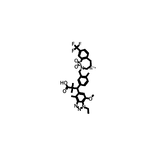 CCn1nnc2c(C)c(C(c3ccc(C)c(CN4C[C@@H](C)Cc5ccc(C(F)(F)F)cc5S4(=O)=O)c3)C(C)(C)C(=O)O)cc(OC)c21